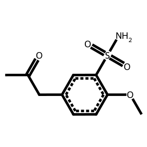 COc1ccc(CC(C)=O)cc1S(N)(=O)=O